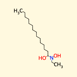 CCCCCCCCCCCCCCC(O)N(O)CC